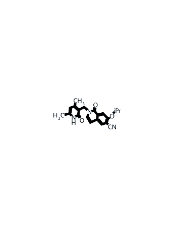 Cc1cc(C)c(Cn2ccc3cc(C#N)c(OC(C)C)cc3c2=O)c(=O)[nH]1